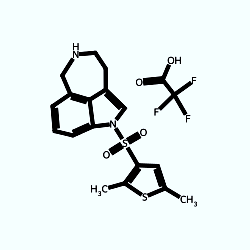 Cc1cc(S(=O)(=O)n2cc3c4c(cccc42)CNCC3)c(C)s1.O=C(O)C(F)(F)F